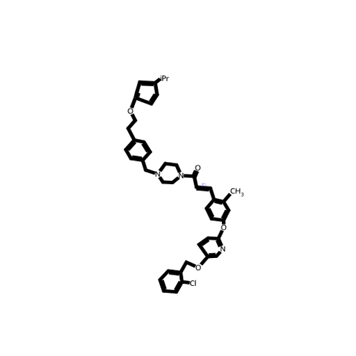 Cc1cc(Oc2ccc(OCc3ccccc3Cl)cn2)ccc1/C=C/C(=O)N1CCN(Cc2ccc(CCOc3ccc(C(C)C)cc3)cc2)CC1